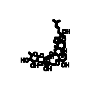 CC(C)=CCCC(C)(O)C1CCC2(C)C13OC3C[C@@H]1C3(C)CCC(O)C4(C)OCC5OC(O[C@@H](CC12C)C43)C(OC1OC(C)C(O)C(O)C1O)CC5O